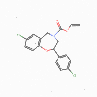 C=COC(=O)N1Cc2cc(Cl)ccc2OC(c2ccc(Cl)cc2)C1